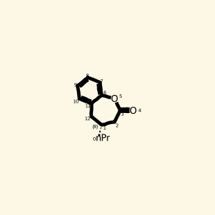 CCC[C@H]1CC(=O)Oc2ccccc2C1